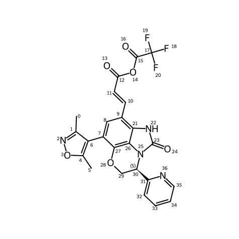 Cc1noc(C)c1-c1cc(C=CC(=O)OC(=O)C(F)(F)F)c2[nH]c(=O)n3c2c1OC[C@@H]3c1ccccn1